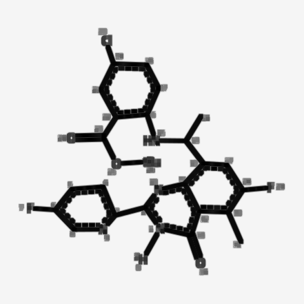 [2H]n1c(-c2ccc(F)cn2)nc2c(C(C)Nc3ccc(Cl)cc3C(=O)OC(C)(C)C)cc(F)c(C)c2c1=O